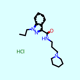 CCCn1nc(C(=O)NCCCN2CCCCC2)c2ccccc21.Cl